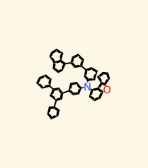 c1ccc(-c2cc(-c3ccccc3)cc(-c3ccc(N(c4cccc(-c5cccc(-c6cccc7ccccc67)c5)c4)c4cccc5oc6ccccc6c45)cc3)c2)cc1